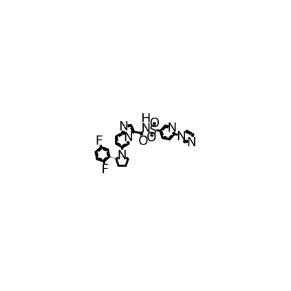 O=C(NS(=O)(=O)c1ccc(-n2ccnc2)nc1)c1cnc2ccc(N3CCC[C@@H]3c3cc(F)ccc3F)cn12